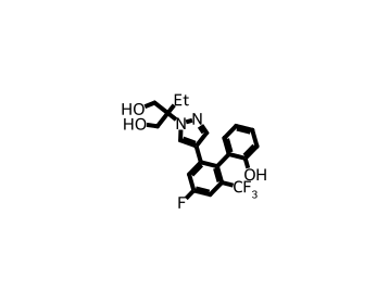 CCC(CO)(CO)n1cc(-c2cc(F)cc(C(F)(F)F)c2-c2ccccc2O)cn1